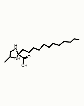 CCCCCCCCCCCCC1(C(=O)O)NCC(C)N1